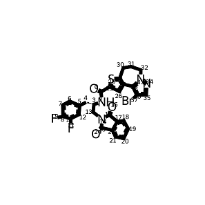 O=C(N[C@@H](Cc1ccc(F)c(F)c1)CN1C(=O)c2ccccc2C1=O)c1cc2c(s1)CCCn1ncc(Br)c1-2